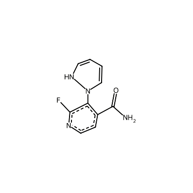 NC(=O)c1ccnc(F)c1N1C=CC=CN1